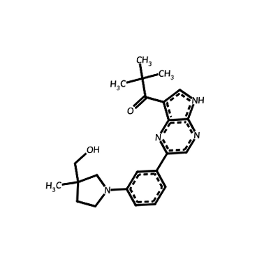 CC1(CO)CCN(c2cccc(-c3cnc4[nH]cc(C(=O)C(C)(C)C)c4n3)c2)C1